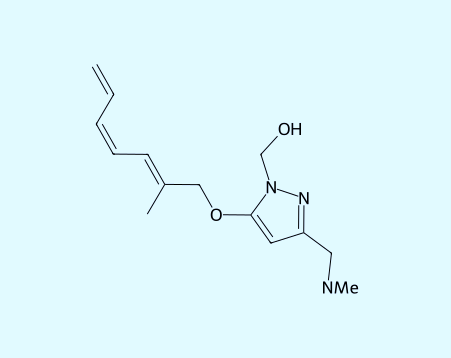 C=C/C=C\C=C(/C)COc1cc(CNC)nn1CO